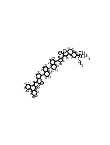 CC(C)(C)c1ccc2c(ccc3oc(=O)c(-c4ccc(-c5cccc6c(-c7cccc8c(-c9cccc(-c%10cc%11c%12ccccc%12c%12ccccc%12c%11oc%10=O)c9)cccc78)cccc56)s4)cc32)c1